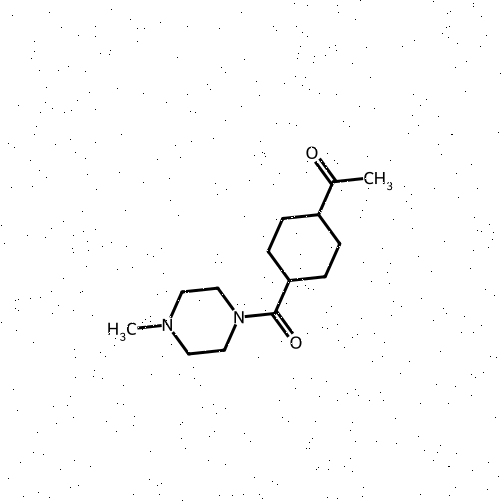 CC(=O)C1CCC(C(=O)N2CCN(C)CC2)CC1